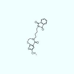 Cc1cc2c(s1)SCCN(CCCCN1C(=O)c3ccccc3C1=O)C2=O